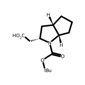 CC(C)(C)OC(=O)N1[C@H](CC(=O)O)C[C@@H]2CCC[C@@H]21